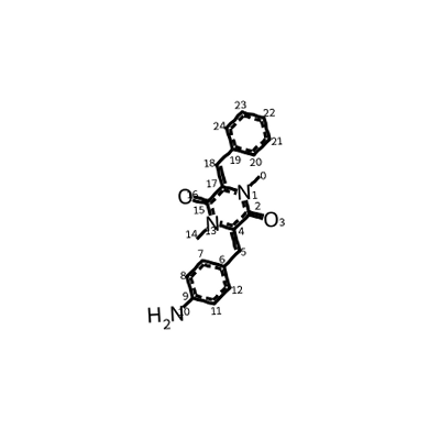 Cn1c(=O)/c(=C/c2ccc(N)cc2)n(C)c(=O)/c1=C/c1ccccc1